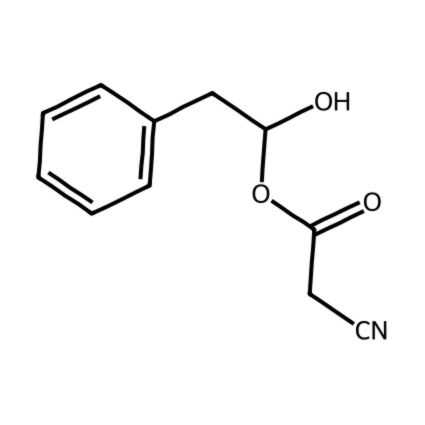 N#CCC(=O)OC(O)Cc1ccccc1